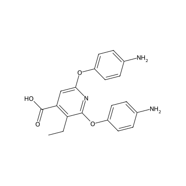 CCc1c(C(=O)O)cc(Oc2ccc(N)cc2)nc1Oc1ccc(N)cc1